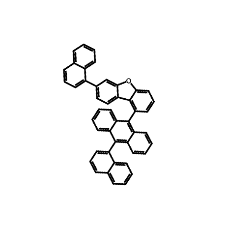 c1ccc2c(-c3ccc4c(c3)oc3cccc(-c5c6ccccc6c(-c6cccc7ccccc67)c6ccccc56)c34)cccc2c1